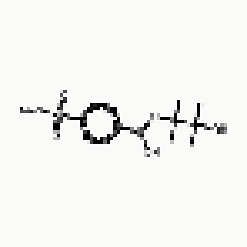 CNS(=O)(=O)c1ccc(B(O)OC(C)(C)C(C)(C)O)cc1